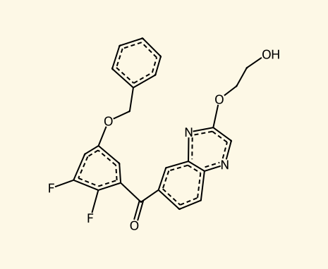 O=C(c1ccc2ncc(OCCO)nc2c1)c1cc(OCc2ccccc2)cc(F)c1F